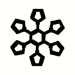 c1ccn(-c2c(-n3cccc3)c(-n3cccc3)c(-n3cccc3)c(-n3cccc3)c2-n2cccc2)c1